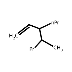 C=CC(CCC)C(C)C(C)C